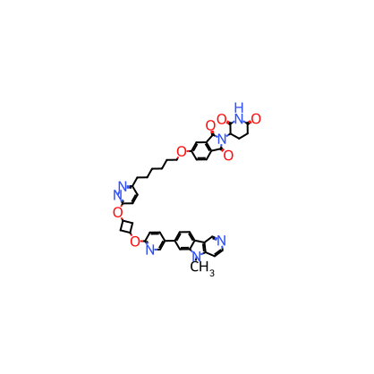 Cn1c2ccncc2c2ccc(-c3ccc(OC4CC(Oc5ccc(CCCCCCOc6ccc7c(c6)C(=O)N(C6CCC(=O)NC6=O)C7=O)nn5)C4)nc3)cc21